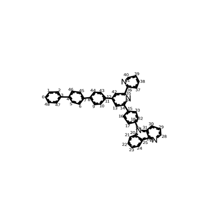 c1ccc(-c2ccc(-c3ccc(-c4cc(-c5ccc(-n6c7ccccc7c7ncccc76)cc5)nc(-c5ccccn5)c4)cc3)cc2)cc1